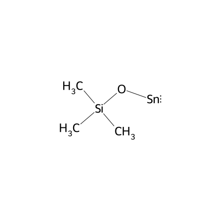 C[Si](C)(C)[O][Sn]